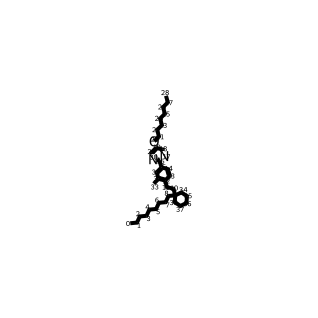 CCCCCCCCCC1(CCc2ccc(-c3ncc(OCCCCCCCC)cn3)cc2C)CCCCC1